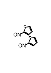 O=Nc1cccs1.O=Nc1cccs1